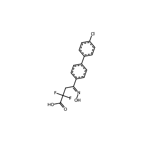 O=C(O)C(F)(F)CC(=NO)c1ccc(-c2ccc(Cl)cc2)cc1